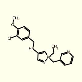 CC[N+]1(Cc2cccnc2)C=C(NCc2ccc(OC)c(Cl)c2)C=N1